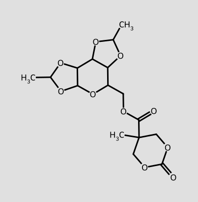 CC1OC2OC(COC(=O)C3(C)COC(=O)OC3)C3OC(C)OC3C2O1